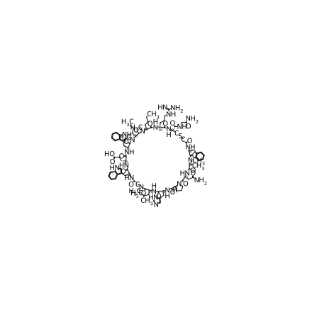 CCCC[C@H]1C(=O)N(C)[C@@H](CCCC)C(=O)N[C@@H](CCCNC(=N)N)C(=O)N[C@H](C(=O)NCC(N)=O)CSCC(=O)N[C@@H](Cc2ccccc2)C(=O)N(C)[C@@H](C)C(=O)N[C@@H](CC(N)=O)C(=O)N2CCC[C@H]2C(=O)N[C@@H](Cc2cnc[nH]2)C(=O)N[C@@H](CC(C)C)C(=O)N(C)CC(=O)N[C@@H](Cc2c[nH]c3ccccc23)C(=O)N[C@H](CCC(=O)O)C(=O)N[C@@H](Cc2c[nH]c3ccccc23)C(=O)N1C